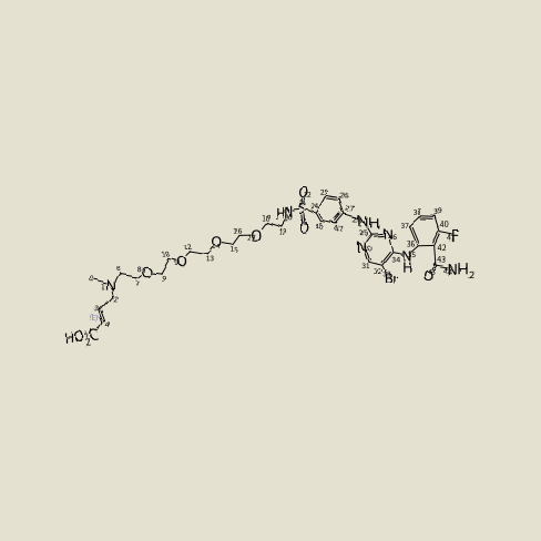 CN(C/C=C/C(=O)O)CCOCCOCCOCCOCCNS(=O)(=O)c1ccc(Nc2ncc(Br)c(Nc3cccc(F)c3C(N)=O)n2)cc1